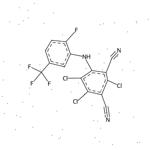 N#Cc1c(Cl)c(Cl)c(Nc2cc(C(F)(F)F)ccc2F)c(C#N)c1Cl